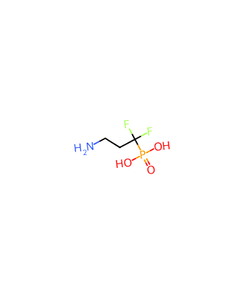 NCCC(F)(F)P(=O)(O)O